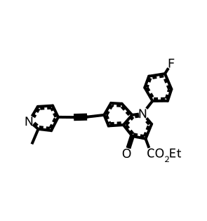 CCOC(=O)c1cn(-c2ccc(F)cc2)c2ccc(C#Cc3ccnc(C)c3)cc2c1=O